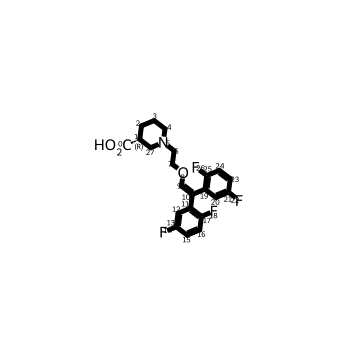 O=C(O)[C@@H]1CCCN(CCOC=C(c2cc(F)ccc2F)c2cc(F)ccc2F)C1